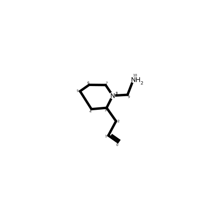 C=CCC1CCCCN1CN